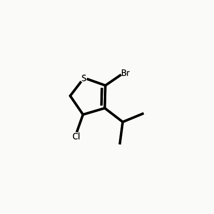 CC(C)C1=C(Br)SCC1Cl